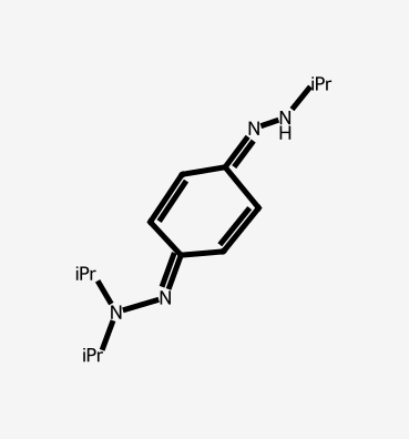 CC(C)NN=C1C=CC(=NN(C(C)C)C(C)C)C=C1